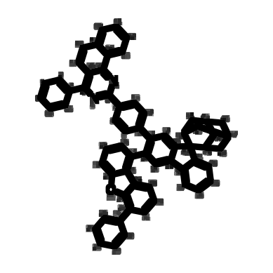 c1ccc(-c2nc(-c3ccc(-c4cc5c(cc4-c4cccc6oc7c(-c8ccccc8)cccc7c46)-c4ccccc4C54C5CC6CC(C5)CC4C6)cc3)nc3c2ccc2ccccc23)cc1